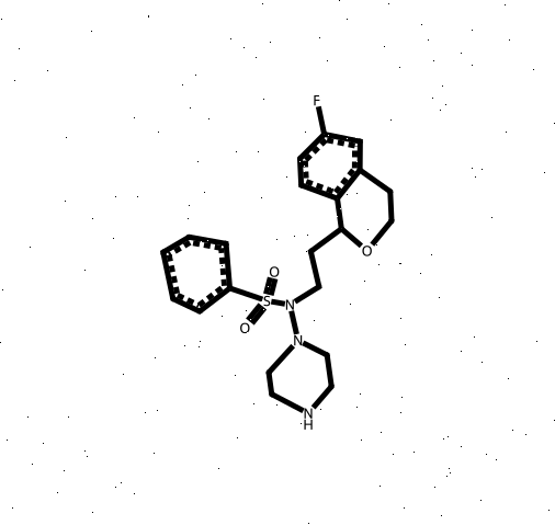 O=S(=O)(c1ccccc1)N(CCC1OCCc2cc(F)ccc21)N1CCNCC1